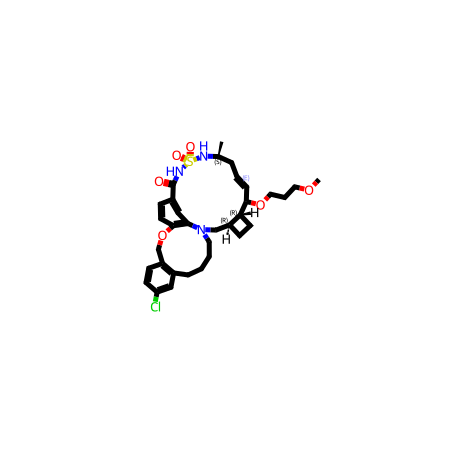 COCCCOC1/C=C/C[C@H](C)NS(=O)(=O)NC(=O)c2ccc3c(c2)N(CCCCc2cc(Cl)ccc2CO3)C[C@@H]2CC[C@@H]12